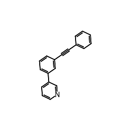 C(#Cc1cccc(-c2cccnc2)c1)c1ccccc1